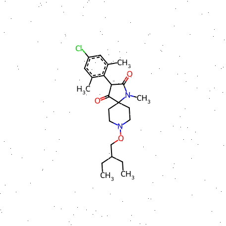 CCC(CC)CON1CCC2(CC1)C(=O)C(c1c(C)cc(Cl)cc1C)C(=O)N2C